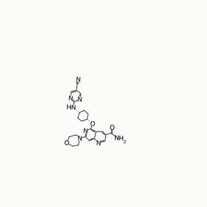 N#Cc1cnc(N[C@H]2CC[C@@H](Oc3nc(N4CCOCC4)cc4ncc(C(N)=O)cc34)CC2)nc1